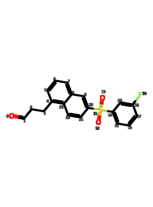 O=CCCc1cccc2cc(S(=O)(=O)c3cccc(F)c3)ccc12